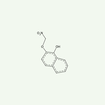 O=[N+]([O-])COc1ccc2ccccc2c1O